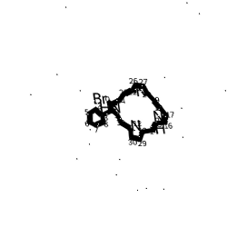 Brc1c(-c2ccccc2)c2cc3nc(cc4ccc(cc5nc(cc1[nH]2)C=C5)[nH]4)C=C3